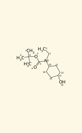 CCN(C(=O)OC(C)(C)C)C1CCC(O)CC1